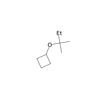 [CH2]CC(C)(C)OC1CCC1